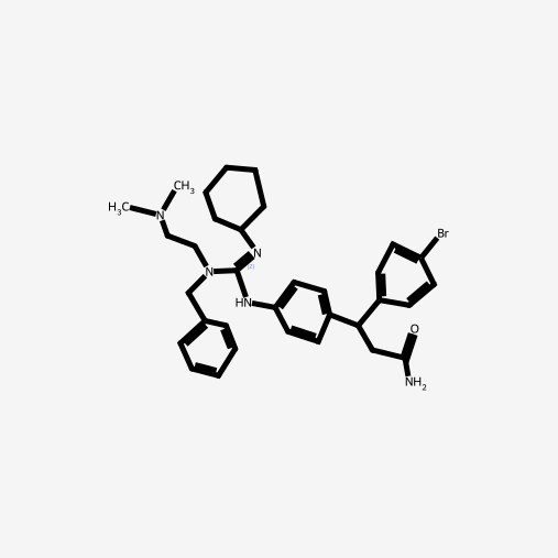 CN(C)CCN(Cc1ccccc1)/C(=N\C1CCCCC1)Nc1ccc(C(CC(N)=O)c2ccc(Br)cc2)cc1